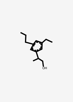 CCCc1cc(CC)cc([C](C)CO)c1